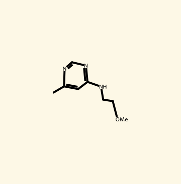 COCCNc1cc(C)ncn1